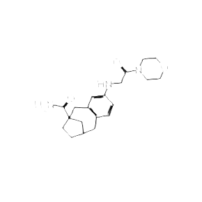 NC(=O)C12[CH]C(CC1)Cc1ccc(NCC(=O)N3CCOCC3)cc1C2